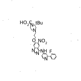 CC(C)(C)C1CN(CCCOc2cc3ncnc(Nc4ccnc(-c5ccccc5F)c4)c3cc2[N+](=O)[O-])CCN1C(=O)O